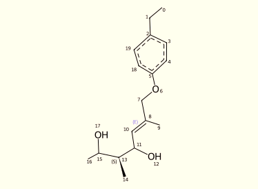 CCc1ccc(OC/C(C)=C/C(O)[C@@H](C)C(C)O)cc1